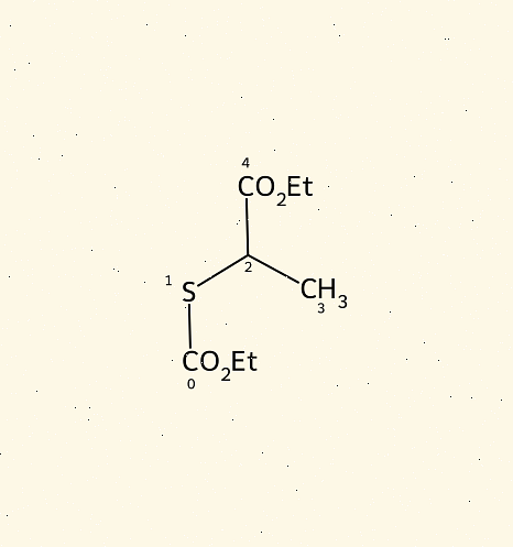 CCOC(=O)SC(C)C(=O)OCC